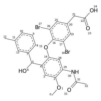 COc1cc(C(O)c2cccc(C)c2)c(Oc2c(Br)cc(CC(=O)O)cc2Br)cc1NC(C)=O